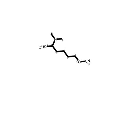 CN(C)C(C=O)CCCCOC#N